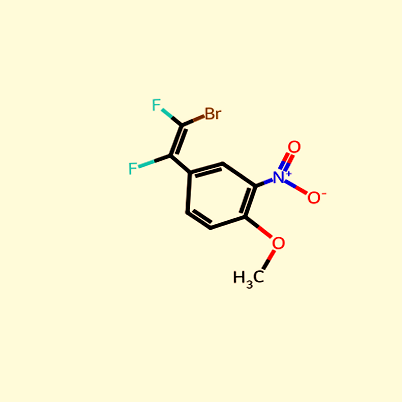 COc1ccc(C(F)=C(F)Br)cc1[N+](=O)[O-]